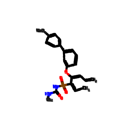 C=C/C=C(Oc1cccc(-c2ccc(OC)cc2)c1)\C(=C/C)S(=O)(=O)NC(=O)NC(C)(C)C